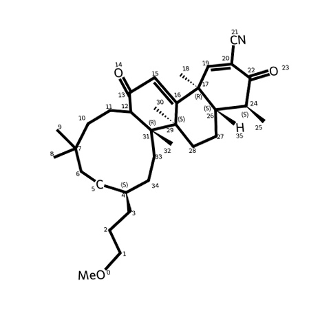 COCCC[C@H]1CCC(C)(C)CCC2C(=O)C=C3[C@@]4(C)C=C(C#N)C(=O)[C@@H](C)[C@@H]4CC[C@@]3(C)[C@]2(C)CC1